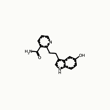 NC(=O)c1cccnc1[CH]Cc1c[nH]c2ccc(O)cc12